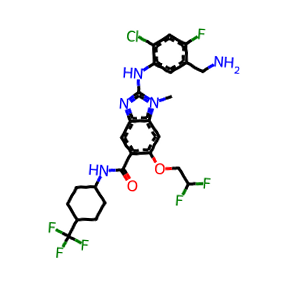 Cn1c(Nc2cc(CN)c(F)cc2Cl)nc2cc(C(=O)NC3CCC(C(F)(F)F)CC3)c(OCC(F)F)cc21